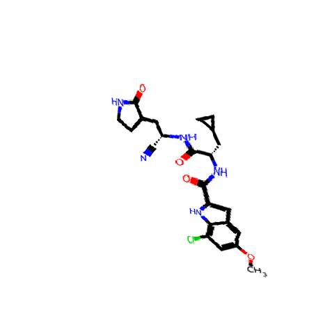 COc1cc(Cl)c2[nH]c(C(=O)N[C@@H](CC3CC3)C(=O)N[C@H](C#N)CC3CCNC3=O)cc2c1